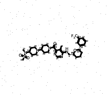 Cc1c(NC[C@H]2CCC[C@@H](c3cccc(C(F)(F)F)c3)O2)ncnc1C(=O)N1CCC(N2CCC(N(C)S(C)(=O)=O)CC2)CC1